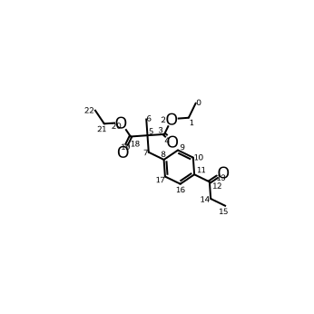 CCOC(=O)C(C)(Cc1ccc(C(=O)CC)cc1)C(=O)OCC